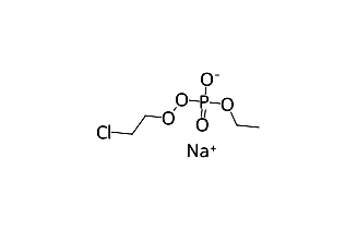 CCOP(=O)([O-])OOCCCl.[Na+]